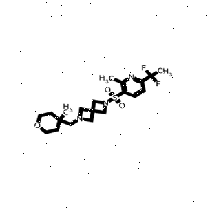 Cc1nc(C(C)(F)F)ccc1S(=O)(=O)N1CC2(CN(CC3(C)CCOCC3)C2)C1